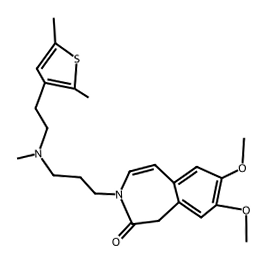 COc1cc2c(cc1OC)CC(=O)N(CCCN(C)CCc1cc(C)sc1C)C=C2